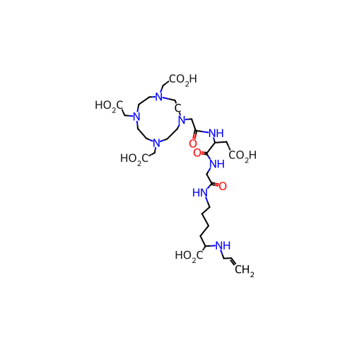 C=CCNC(CCCCNC(=O)CNC(=O)C(CC(=O)O)NC(=O)CN1CCN(CC(=O)O)CCN(CC(=O)O)CCN(CC(=O)O)CC1)C(=O)O